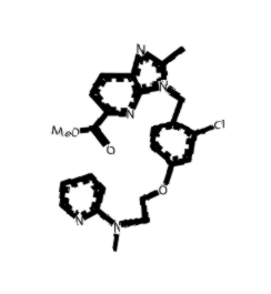 COC(=O)c1ccc2nc(C)n(Cc3ccc(OCCN(C)c4ccccn4)cc3Cl)c2n1